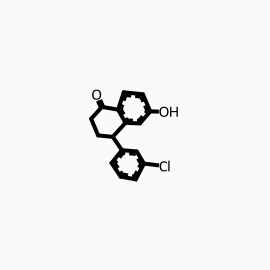 O=C1CCC(c2cccc(Cl)c2)c2cc(O)ccc21